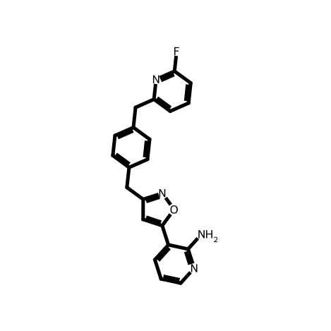 Nc1ncccc1-c1cc(Cc2ccc(Cc3cccc(F)n3)cc2)no1